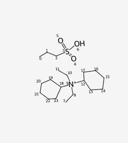 CCCS(=O)(=O)O.CC[N+](CC)(C1CCCCC1)C1CCCCC1